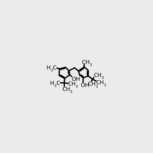 Cc1cc(Cc2cc(O)c(C(C)(C)C)cc2C)c(O)c(C(C)(C)C)c1